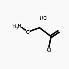 C=C(Cl)CON.Cl